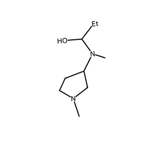 CCC(O)N(C)C1CCN(C)C1